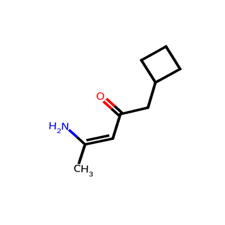 C/C(N)=C/C(=O)CC1CCC1